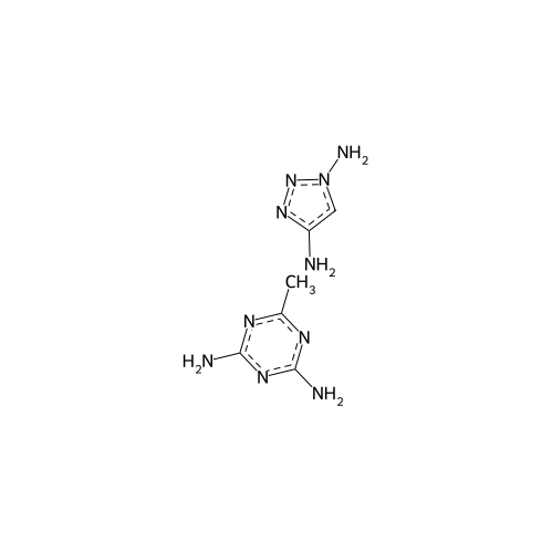 Cc1nc(N)nc(N)n1.Nc1cn(N)nn1